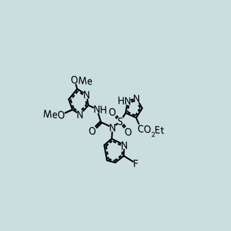 CCOC(=O)c1cn[nH]c1S(=O)(=O)N(C(=O)Nc1nc(OC)cc(OC)n1)c1cccc(F)n1